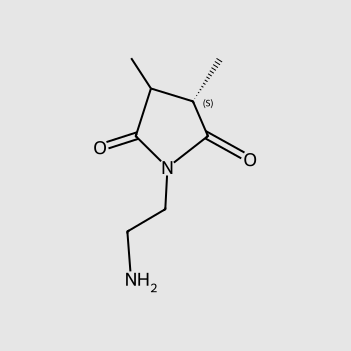 CC1C(=O)N(CCN)C(=O)[C@H]1C